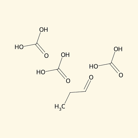 CCC=O.O=C(O)O.O=C(O)O.O=C(O)O